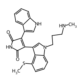 CNCCCn1cc(C2=C(c3c[nH]c4ccccc34)C(=O)NC2=O)c2c(SC)cccc21